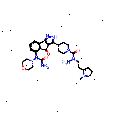 CN1CCCC1CCN(N)C(=O)N1CCC(c2[nH]nc3c2C(=O)c2c-3cccc2N(C(N)=O)N2CCOCC2)CC1